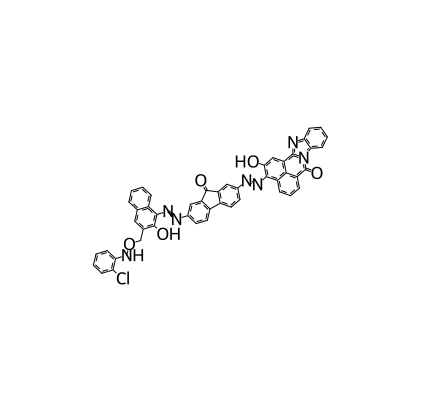 O=C1c2cc(N=Nc3c(O)c(CONc4ccccc4Cl)cc4ccccc34)ccc2-c2ccc(N=Nc3c(O)cc4c5c3cccc5c(=O)n3c5ccccc5nc43)cc21